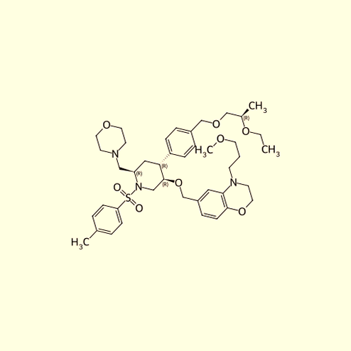 CCO[C@H](C)COCc1ccc([C@H]2C[C@H](CN3CCOCC3)N(S(=O)(=O)c3ccc(C)cc3)C[C@@H]2OCc2ccc3c(c2)N(CCCOC)CCO3)cc1